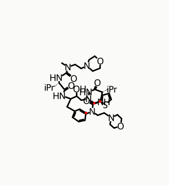 CC(C)[C@H](NC(=O)N(C)CCN1CCOCC1)C(=O)NC(Cc1ccccc1)C(O)CN(Cc1cccs1)NC(=O)[C@@H](NC(=O)N(C)CCN1CCOCC1)C(C)C